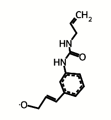 C=CCNC(=O)Nc1cccc(/C=C/C[O])c1